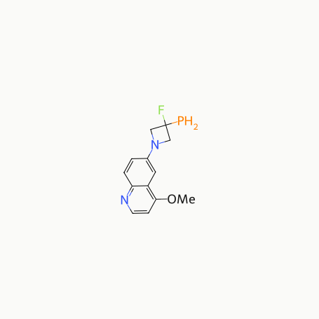 COc1ccnc2ccc(N3CC(F)(P)C3)cc12